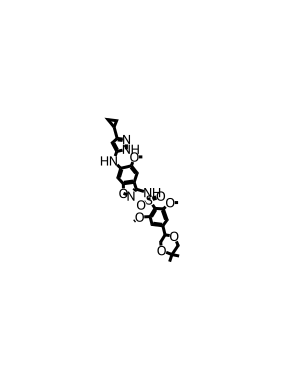 COc1cc2c(NS(=O)(=O)c3c(OC)cc(C4COC(C)(C)CO4)cc3OC)noc2cc1Nc1cc(C2CC2)n[nH]1